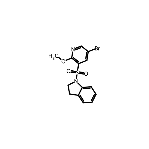 COc1ncc(Br)cc1S(=O)(=O)N1CCc2ccccc21